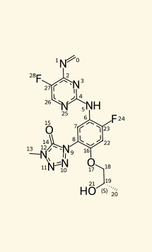 C=Nc1nc(Nc2cc(-n3nnn(C)c3=O)c(OC[C@H](C)O)cc2F)ncc1F